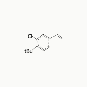 C=Cc1ccc(C(C)(C)C)c(Cl)c1